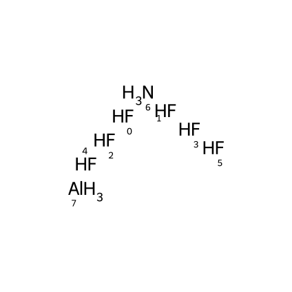 F.F.F.F.F.F.N.[AlH3]